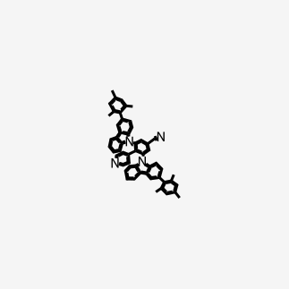 Cc1cc(C)c(-c2ccc3c(c2)c2ccccc2n3-c2cc(C#N)cc(-n3c4ccccc4c4cc(-c5c(C)cc(C)cc5C)ccc43)c2-c2ccncc2)c(C)c1